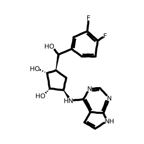 OC(c1ccc(F)c(F)c1)[C@H]1C[C@@H](Nc2ncnc3[nH]ccc23)[C@H](O)[C@@H]1O